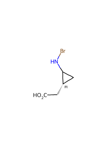 O=C(O)C[C@H]1CC1NBr